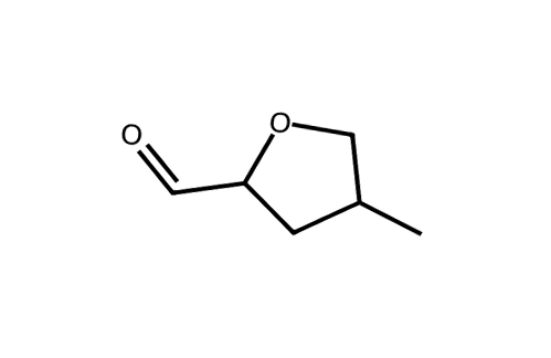 CC1COC(C=O)C1